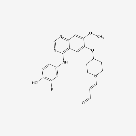 COc1cc2ncnc(Nc3ccc(O)c(F)c3)c2cc1OC1CCN(C=CC=O)CC1